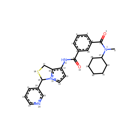 CN(C(=O)c1cccc(C(=O)Nc2ccn3c2CSC3c2cccnc2)c1)C1CCCCC1